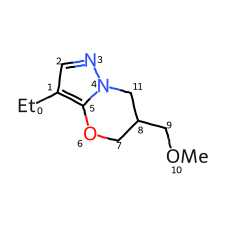 CCc1cnn2c1OCC(COC)C2